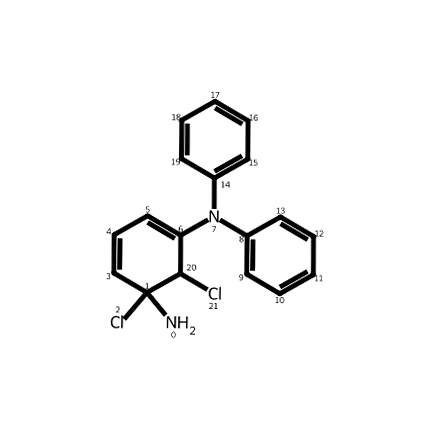 NC1(Cl)C=CC=C(N(c2ccccc2)c2ccccc2)C1Cl